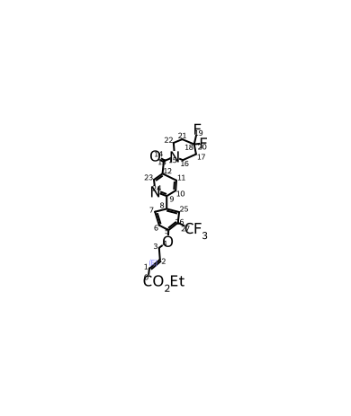 CCOC(=O)/C=C/COc1ccc(-c2ccc(C(=O)N3CCC(F)(F)CC3)cn2)cc1C(F)(F)F